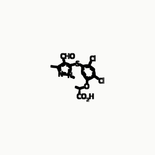 Cc1nn(C)c(Sc2cc(O[C@H](C)C(=O)O)c(Cl)cc2Cl)c1C=O